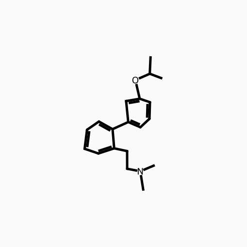 CC(C)Oc1cccc(-c2ccccc2CCN(C)C)c1